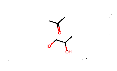 CC(C)=O.CC(O)CO